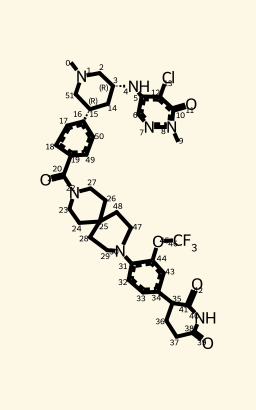 CN1C[C@H](Nc2cnn(C)c(=O)c2Cl)C[C@H](c2ccc(C(=O)N3CCC4(CC3)CCN(c3ccc(C5CCC(=O)NC5=O)cc3OC(F)(F)F)CC4)cc2)C1